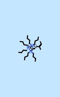 CC=C(C)[SiH2]C[Si](N(CCCC)CCCC)(N(CCCC)CCCC)N(CCCC)CCCC